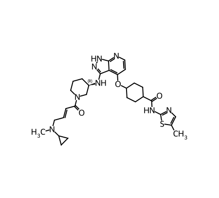 Cc1cnc(NC(=O)C2CCC(Oc3ccnc4[nH]nc(N[C@@H]5CCCN(C(=O)C=CCN(C)C6CC6)C5)c34)CC2)s1